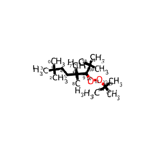 CC(C)(C)CCC(C)(C)C(OOC(C)(C)C)C(C)(C)C